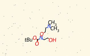 CN(C)CCON(CCO)C(=O)OC(C)(C)C